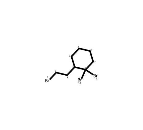 BrCCC1CCCCC1(Br)Br